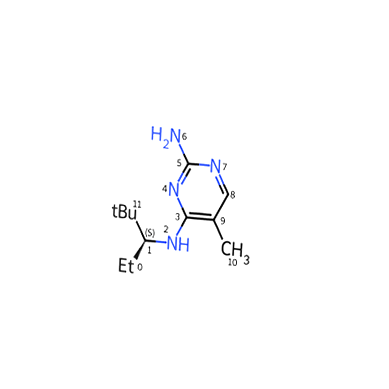 CC[C@H](Nc1nc(N)ncc1C)C(C)(C)C